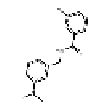 Cc1cccc(C(=O)NCc2cccc(N(C)C)c2)c1